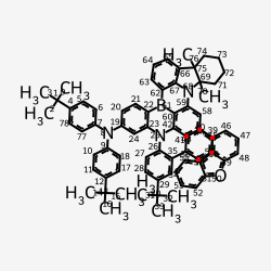 CC(C)(C)c1ccc(N(c2ccc(C(C)(C)C)cc2)c2ccc3c(c2)N(c2ccc(C(C)(C)C)cc2-c2ccccc2)c2cc(-c4cccc5oc6ccccc6c45)cc4c2B3c2cccc3c2N4C2(C)CCCCC32C)cc1